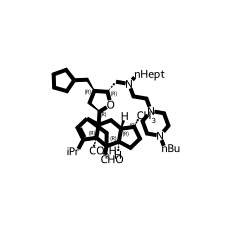 CCCCCCCN(CCN1CCN(CCCC)CC1)C[C@@H]1O[C@@H](C23C[C@@H]4[C@H](C)CC[C@H]4C4(C=O)CC2C=C(C(C)C)[C@]43C(=O)O)C[C@H]1CC1CCCC1